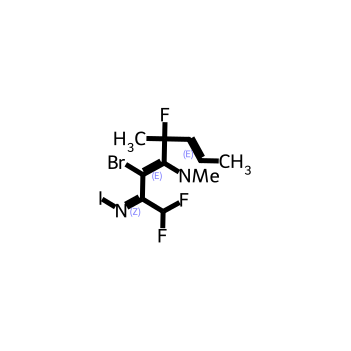 C/C=C/C(C)(F)/C(NC)=C(Br)/C(=N\I)C(F)F